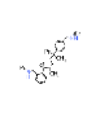 CC(C)NCc1ccc(C(C)(CCC(C)C2(c3ccccc3CNC(C)C)CC2)C(C)C)cc1